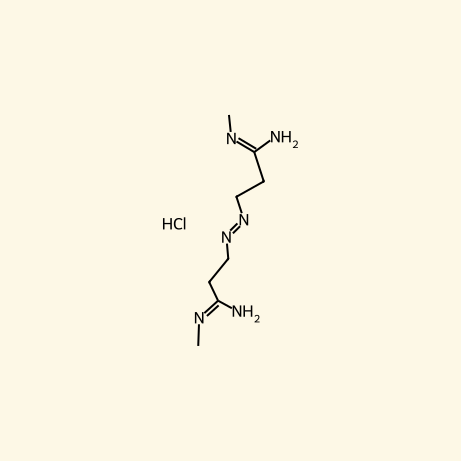 CN=C(N)CCN=NCCC(N)=NC.Cl